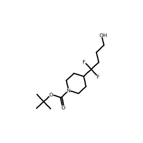 CC(C)(C)OC(=O)N1CCC(C(F)(F)CCCO)CC1